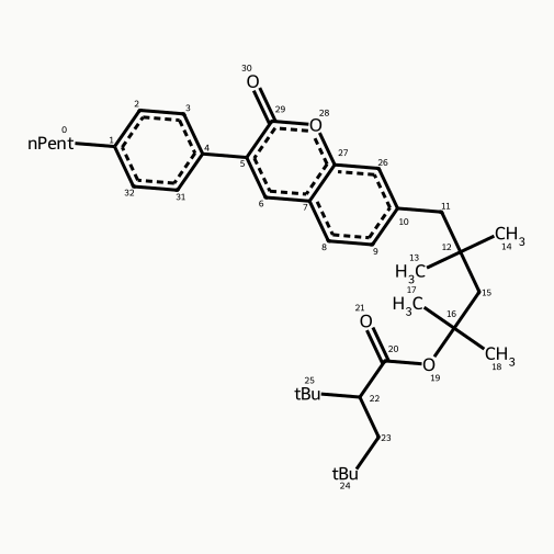 CCCCCc1ccc(-c2cc3ccc(CC(C)(C)CC(C)(C)OC(=O)C(CC(C)(C)C)C(C)(C)C)cc3oc2=O)cc1